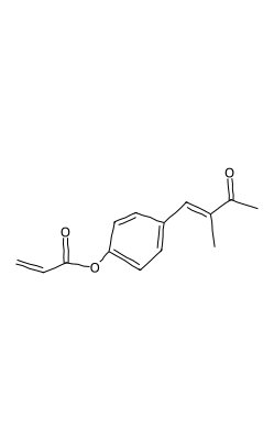 C=CC(=O)Oc1ccc(/C=C(\C)C(C)=O)cc1